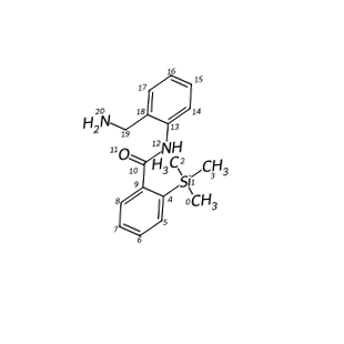 C[Si](C)(C)c1ccccc1C(=O)Nc1ccccc1CN